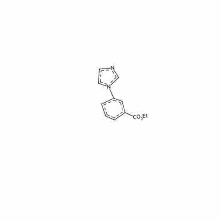 CCOC(=O)c1cccc(-n2ccnc2)c1